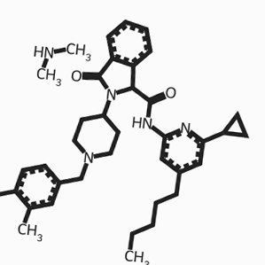 CCCCCc1cc(NC(=O)C2c3ccccc3C(=O)N2C2CCN(Cc3ccc(Cl)c(C)c3)CC2)nc(C2CC2)c1.CNC